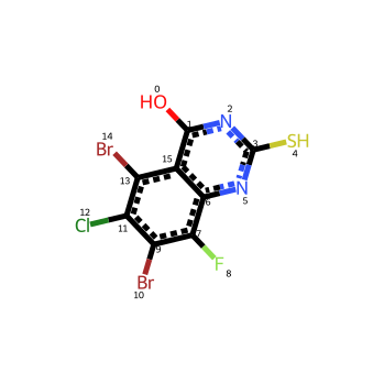 Oc1nc(S)nc2c(F)c(Br)c(Cl)c(Br)c12